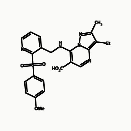 CCc1c(C)nn2c(NCc3cccnc3S(=O)(=O)c3ccc(OC)cc3)c(C(=O)O)cnc12